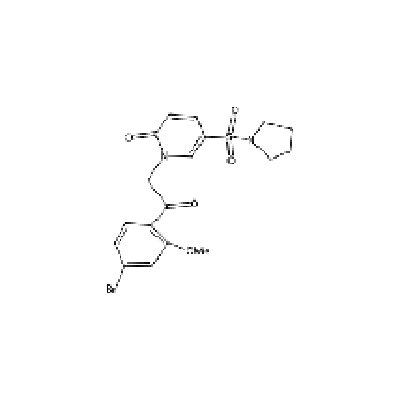 COc1cc(Br)ccc1C(=O)Cn1cc(S(=O)(=O)N2CCCC2)ccc1=O